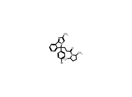 Cc1cn2c(n1)-c1ccccc1C2(CCC(=O)N1C(C)CCC1C)c1ccc(Br)cc1